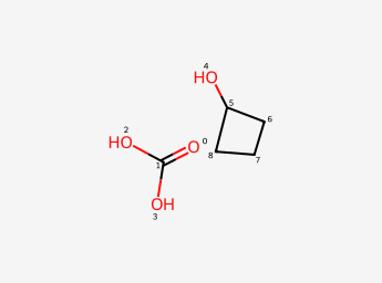 O=C(O)O.OC1CCC1